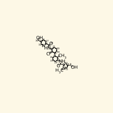 Cc1c(NC(=O)c2nc(CO)cn2C)cccc1-c1cccc(NC(=O)c2ccc(CO)cn2)c1Cl